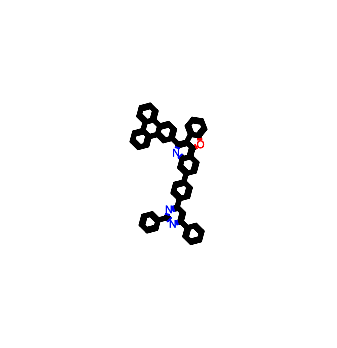 c1ccc(-c2cc(-c3ccc(-c4ccc5c(c4)nc(-c4ccc6c7ccccc7c7ccccc7c6c4)c4c6ccccc6oc54)cc3)nc(-c3ccccc3)n2)cc1